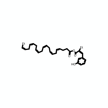 CC/C=C\C/C=C\C/C=C\C/C=C\C/C=C\C/C=C\CCC(=O)OC(=O)/C(=C\c1cccc(O)c1)CC